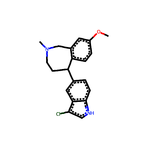 COc1ccc2c(c1)CN(C)CCC2c1ccc2[nH]cc(Cl)c2c1